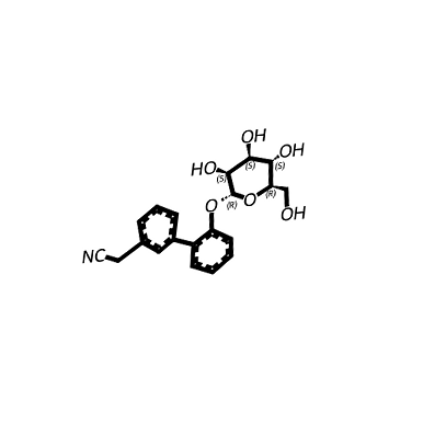 N#CCc1cccc(-c2ccccc2O[C@H]2O[C@H](CO)[C@@H](O)[C@H](O)[C@@H]2O)c1